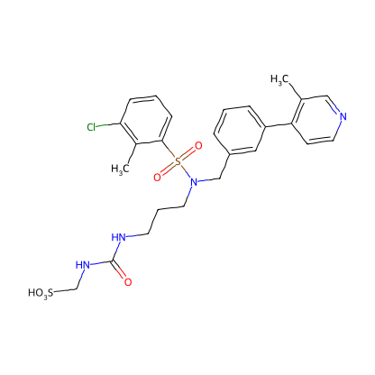 Cc1cnccc1-c1cccc(CN(CCCNC(=O)NCS(=O)(=O)O)S(=O)(=O)c2cccc(Cl)c2C)c1